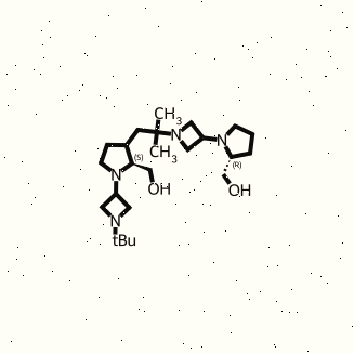 CC(C)(C)N1CC(N2CCC(CC(C)(C)N3CC(N4CCC[C@@H]4CO)C3)[C@H]2CO)C1